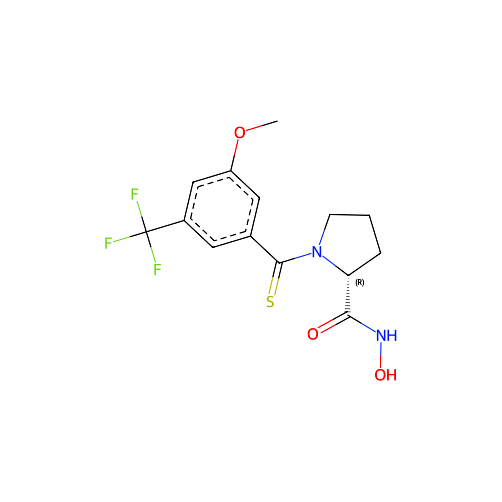 COc1cc(C(=S)N2CCC[C@@H]2C(=O)NO)cc(C(F)(F)F)c1